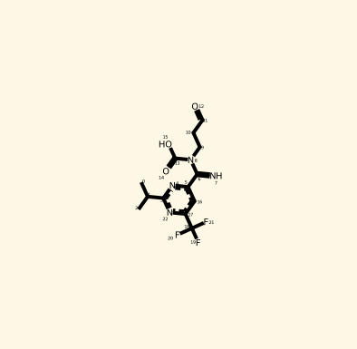 CC(C)c1nc(C(=N)N(CCC=O)C(=O)O)cc(C(F)(F)F)n1